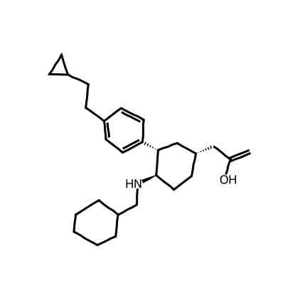 C=C(O)C[C@@H]1CC[C@@H](NCC2CCCCC2)[C@H](c2ccc(CCC3CC3)cc2)C1